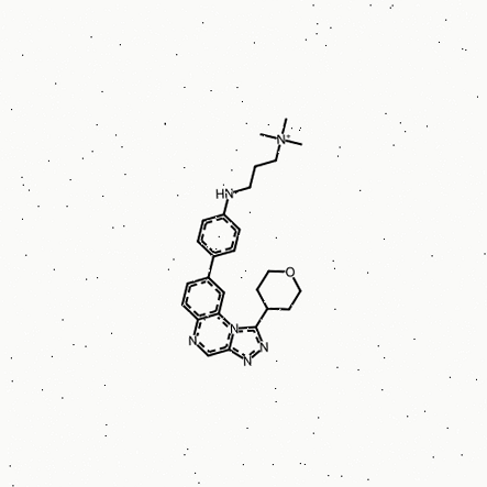 C[N+](C)(C)CCCNc1ccc(-c2ccc3ncc4nnc(C5CCOCC5)n4c3c2)cc1